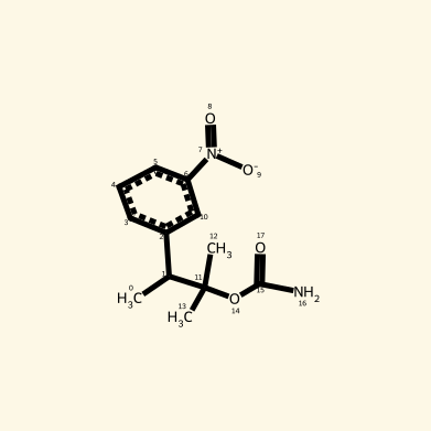 CC(c1cccc([N+](=O)[O-])c1)C(C)(C)OC(N)=O